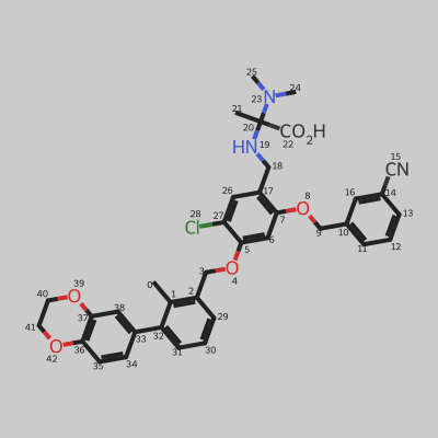 Cc1c(COc2cc(OCc3cccc(C#N)c3)c(CNC(C)(C(=O)O)N(C)C)cc2Cl)cccc1-c1ccc2c(c1)OCCO2